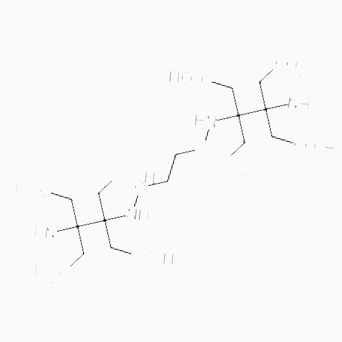 NC(CC(=O)O)(CC(=O)O)C(CC(=O)O)(CC(=O)O)NOCCONC(CC(=O)O)(CC(=O)O)C(N)(CC(=O)O)CC(=O)O